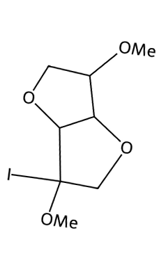 COC1COC2C1OCC2(I)OC